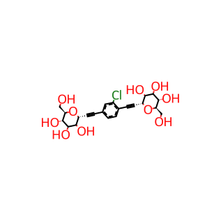 OC[C@H]1O[C@H](C#Cc2ccc(C#C[C@H]3O[C@H](CO)[C@@H](O)[C@H](O)[C@@H]3O)c(Cl)c2)[C@@H](O)[C@@H](O)[C@@H]1O